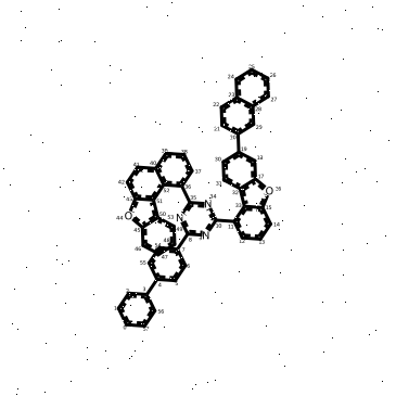 c1ccc(-c2ccc(-c3nc(-c4cccc5oc6cc(-c7ccc8ccccc8c7)ccc6c45)nc(-c4cccc5ccc6oc7ccccc7c6c45)n3)cc2)cc1